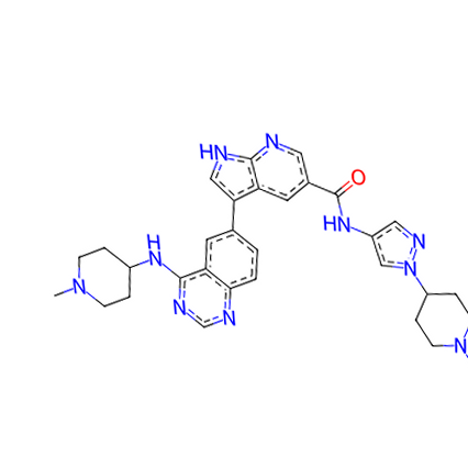 CN1CCC(Nc2ncnc3ccc(-c4c[nH]c5ncc(C(=O)Nc6cnn(C7CCN(C)CC7)c6)cc45)cc23)CC1